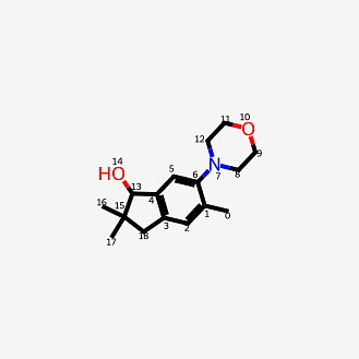 Cc1cc2c(cc1N1CCOCC1)C(O)C(C)(C)C2